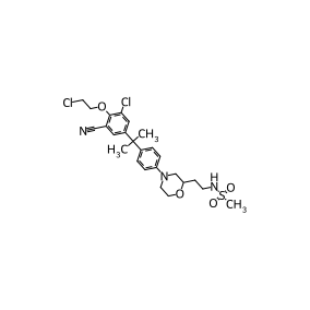 CC(C)(c1ccc(N2CCOC(CCNS(C)(=O)=O)C2)cc1)c1cc(Cl)c(OCCCl)c(C#N)c1